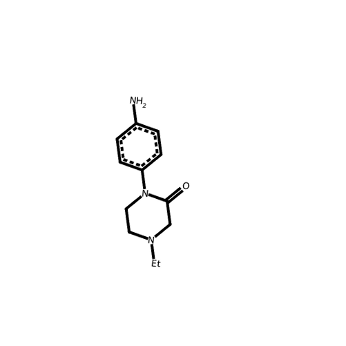 CCN1CCN(c2ccc(N)cc2)C(=O)C1